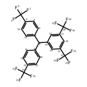 FC(F)(F)c1ccc(C(c2ccc(C(F)(F)F)cc2)c2cc(C(F)(F)F)cc(C(F)(F)F)c2)cc1